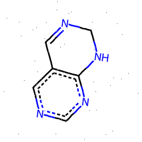 C1=NCNc2ncncc21